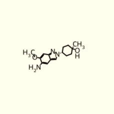 COc1cc2nn([C@H]3CC[C@@](C)(O)CC3)cc2cc1N